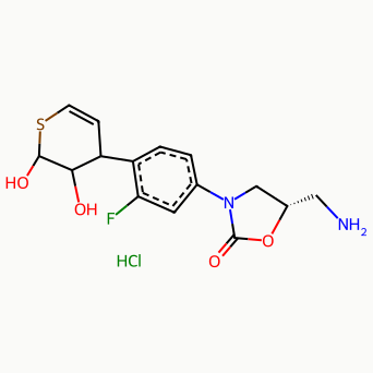 Cl.NC[C@H]1CN(c2ccc(C3C=CSC(O)C3O)c(F)c2)C(=O)O1